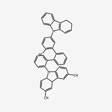 N#CC1=CC2c3cc(C#N)ccc3N(c3ccccc3-c3ccccc3-c3cc(-n4c5c(c6ccccc64)CCC=C5)ccc3C#N)C2C=C1